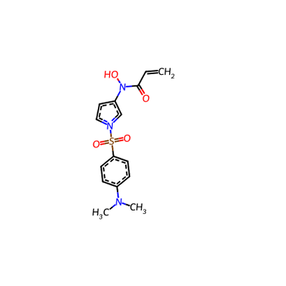 C=CC(=O)N(O)c1ccn(S(=O)(=O)c2ccc(N(C)C)cc2)c1